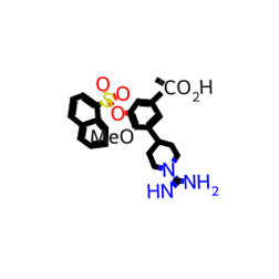 CC(=O)O.COc1c(OS(=O)(=O)c2cccc3ccccc23)cc(C)cc1C1CCN(C(=N)N)CC1